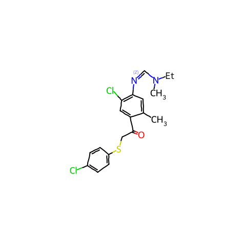 CCN(C)/C=N\c1cc(C)c(C(=O)CSc2ccc(Cl)cc2)cc1Cl